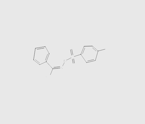 Cc1ccc(S(=O)(=O)NN=C([C]=O)c2ccccc2)cc1